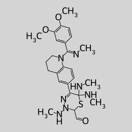 CN=C(c1ccc(OC)c(OC)c1)N1CCCc2cc(C3=NN(NC)C(C=O)SC3(NC)NC)ccc21